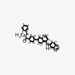 CN(Cc1ccccc1)C(=O)c1ccc(-c2ccc3c(Nc4ccc5scnc5c4)ccnc3c2)cc1